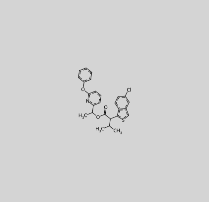 CC(OC(=O)C(c1scc2cc(Cl)ccc12)C(C)C)c1cccc(Oc2ccccc2)n1